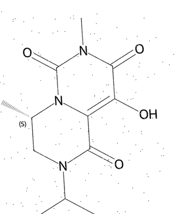 CC(C)N1C[C@H](C)n2c(c(O)c(=O)n(C)c2=O)C1=O